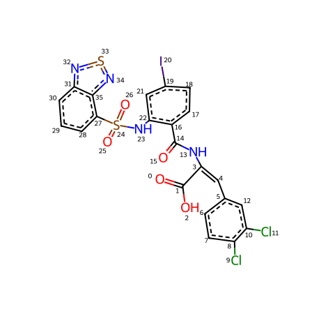 O=C(O)C(=Cc1ccc(Cl)c(Cl)c1)NC(=O)c1ccc(I)cc1NS(=O)(=O)c1cccc2nsnc12